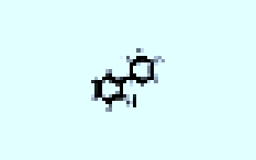 [2H]c1ccccc1-c1ccccc1